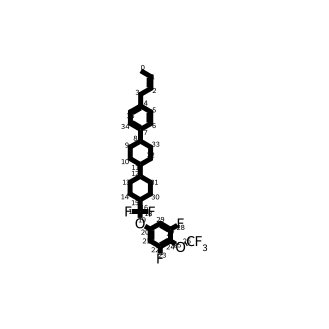 C/C=C\Cc1ccc(C2CCC(C3CCC(C(F)(F)Oc4cc(F)c(OC(F)(F)F)c(F)c4)CC3)CC2)cc1